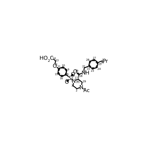 CC(=O)N1CCN(S(=O)(=O)c2ccc(OCC(=O)O)cc2)[C@@H](C(=O)NCc2ccc(C(C)C)cc2)C1